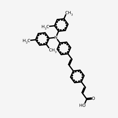 Cc1ccc(N(c2ccc(C=Cc3ccc(/C=C/C(=O)O)cc3)cc2)c2ccc(C)cc2C)c(C)c1